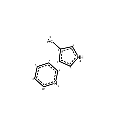 CC(=O)c1cc[nH]c1.c1ccncc1